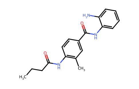 CCCC(=O)Nc1ccc(C(=O)Nc2ccccc2N)cc1C